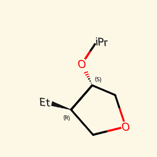 CC[C@@H]1COC[C@H]1OC(C)C